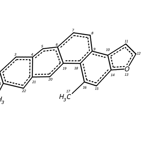 Cc1ccc2cc3ccc4c5ccoc5cc(C)c4c3cc2c1